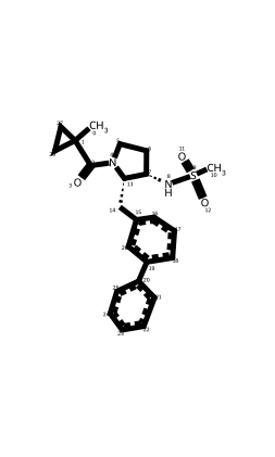 CC1(C(=O)N2CC[C@H](NS(C)(=O)=O)[C@@H]2Cc2cccc(-c3ccccc3)c2)CC1